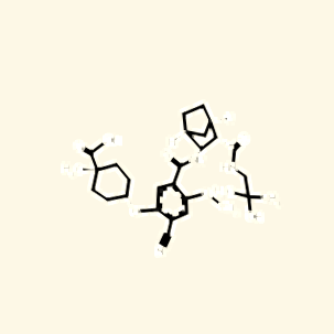 COc1cc(C#N)c(O[C@H]2CC[C@@](C)(C(=O)O)CC2)cc1C(=O)N[C@@H]1[C@H]2CC[C@H](C2)[C@@H]1C(=O)NCC(C)(C)O